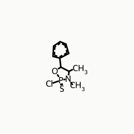 CC1C(c2ccccc2)OP(=S)(Cl)N1C